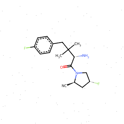 CC(C)(Cc1ccc(F)cc1)[C@H](N)C(=O)N1C[C@H](F)C[C@H]1C#N